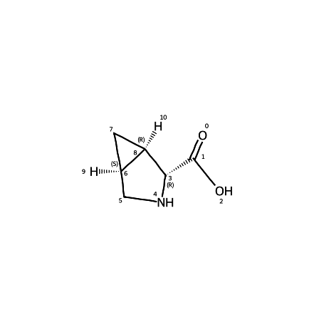 O=C(O)[C@@H]1NC[C@H]2C[C@H]21